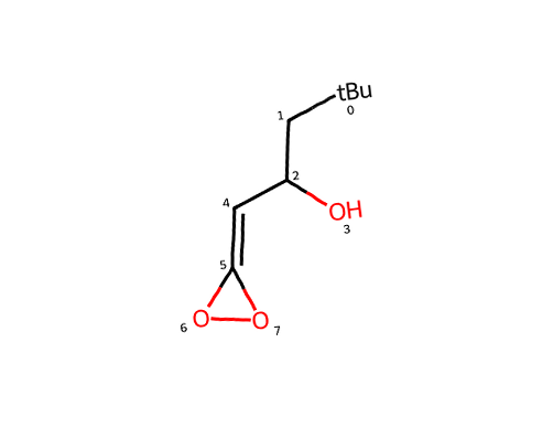 CC(C)(C)CC(O)C=C1OO1